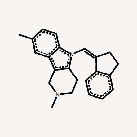 Cc1ccc2c(c1)c1c(n2/C=C2/CCc3ccccc32)CCN(C)C1